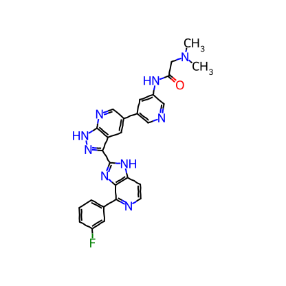 CN(C)CC(=O)Nc1cncc(-c2cnc3[nH]nc(-c4nc5c(-c6cccc(F)c6)nccc5[nH]4)c3c2)c1